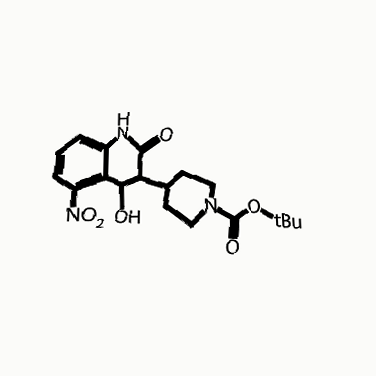 CC(C)(C)OC(=O)N1CCC(C2C(=O)Nc3cccc([N+](=O)[O-])c3C2O)CC1